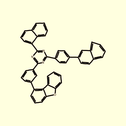 c1cc(-c2nc(-c3ccc(-c4ccc5ccccc5c4)cc3)nc(-c3cccc4ccccc34)n2)cc(-c2cccc3oc4ccccc4c23)c1